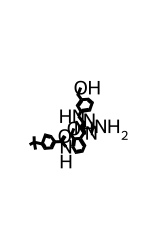 CC(C)(C)c1ccc(C(=O)Nc2cccc(-c3nc(N)nc(Nc4cccc(CO)c4)n3)c2CO)cc1